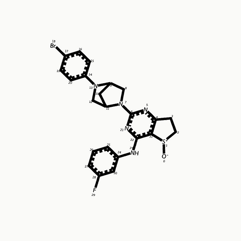 [O-][S+]1CCc2nc(N3CC4CC3CN4c3ccc(Br)cc3)nc(Nc3cccc(F)c3)c21